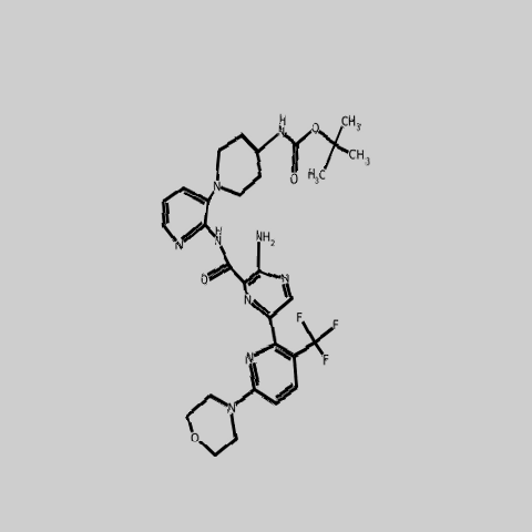 CC(C)(C)OC(=O)NC1CCN(c2cccnc2NC(=O)c2nc(-c3nc(N4CCOCC4)ccc3C(F)(F)F)cnc2N)CC1